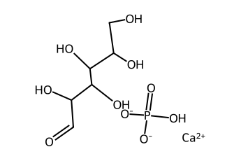 O=CC(O)C(O)C(O)C(O)CO.O=P([O-])([O-])O.[Ca+2]